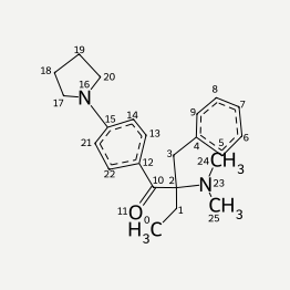 CCC(Cc1ccccc1)(C(=O)c1ccc(N2CCCC2)cc1)N(C)C